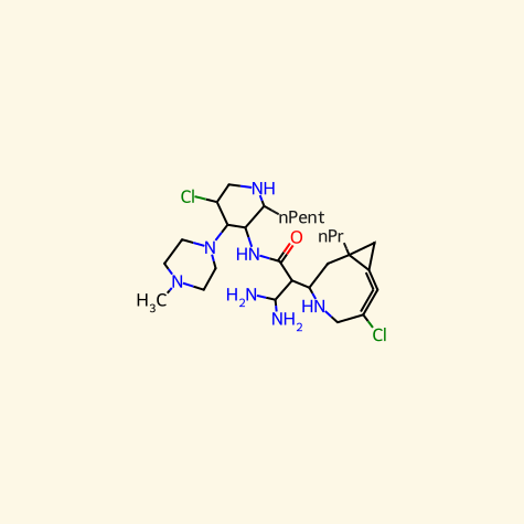 CCCCCC1NCC(Cl)C(N2CCN(C)CC2)C1NC(=O)C(C(N)N)C1CC2(CCC)CC2=C=C(Cl)CN1